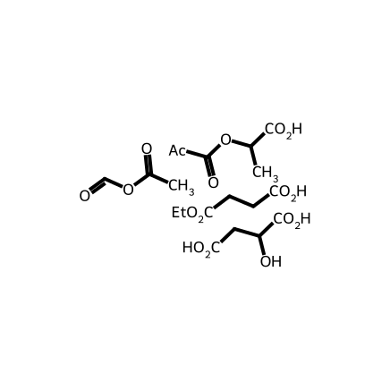 CC(=O)C(=O)OC(C)C(=O)O.CC(=O)OC=O.CCOC(=O)CCC(=O)O.O=C(O)CC(O)C(=O)O